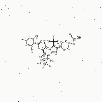 Cc1cc(Cl)c(C(=O)CN(C(=O)c2cnn(C3CCC(CC(=O)O)CC3)c2C(F)(F)F)[C@H]2C[C@@H]3[C@H](C2)C3(C)C)c(Cl)c1